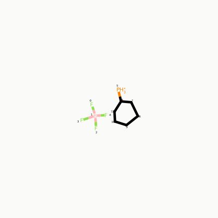 F[B-](F)(F)F.[PH3+]C1CCCCC1